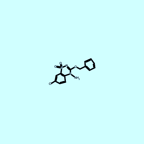 NN1C(OCc2ccccc2)=NS(=O)(=O)c2cc(Cl)ccc21